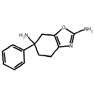 Nc1nc2c(o1)CC(N)(c1ccccc1)CC2